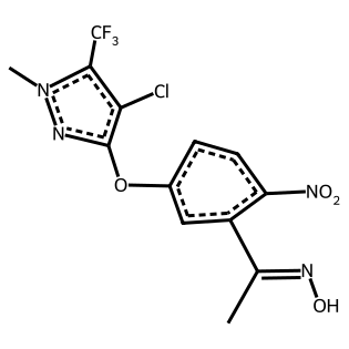 CC(=NO)c1cc(Oc2nn(C)c(C(F)(F)F)c2Cl)ccc1[N+](=O)[O-]